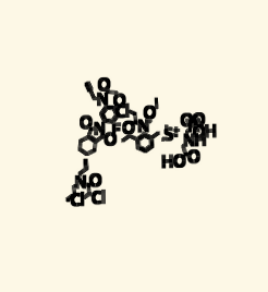 C#CCN1C(=O)COc2cc(F)c(N3C(=O)C4=C(CCCC4)C3=O)cc21.C=CCN(CC=C)C(=O)C(Cl)Cl.CCOCN(C(=O)CCl)c1c(C)cccc1CC.C[S+](C)C.O=C(O)CNCP(=O)([O-])O